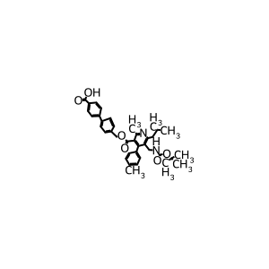 Cc1ccc(-c2c(CNC(=O)OC(C)(C)C)c(CC(C)C)nc(C)c2C(=O)OCc2ccc(-c3ccc(C(=O)O)cc3)cc2)cc1